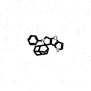 c1ccc(N2Cc3oc4ccsc4c3C23C2CC4CC(C2)CC3C4)cc1